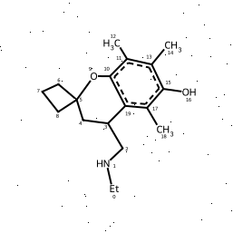 CCNCC1CC2(CCC2)Oc2c(C)c(C)c(O)c(C)c21